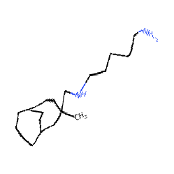 CC1(CNCCCCCN)CC2CCCC(C2)C1